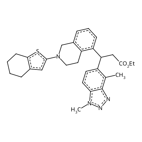 CCOC(=O)CC(c1cccc2c1CCN(c1cc3c(s1)CCCC3)C2)c1ccc2c(nnn2C)c1C